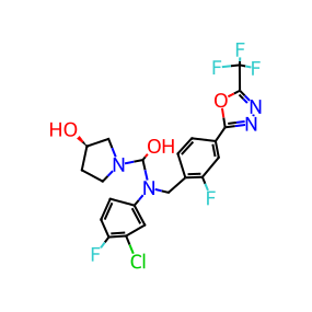 OC(N1CC[C@@H](O)C1)N(Cc1ccc(-c2nnc(C(F)(F)F)o2)cc1F)c1ccc(F)c(Cl)c1